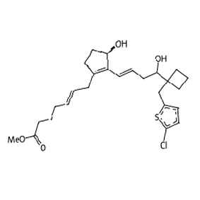 COC(=O)CCCC=CCC1=C(C=CCC(O)C2(Cc3ccc(Cl)s3)CCC2)[C@H](O)CC1